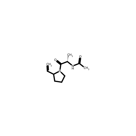 C=CC1CCCN1C(=O)[C@H](C)NC(C)=O